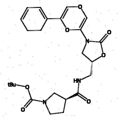 CC(C)(C)OC(=O)N1CC[C@H](C(=O)NC[C@@H]2CN(C3=COC=C(C4=CC=CCC4)O3)C(=O)O2)C1